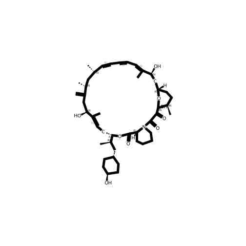 C=C1C[C@H](O)/C(C)=C/C[C@@H]([C@H](C)C[C@H]2CC[C@H](O)CC2)OC(=O)[C@@H]2CCCCN2C(=O)C(=O)[C@]2(O)O[C@@H](CC[C@H]2C)C[C@H](O)/C(C)=C/C=C/C=C/[C@@H](C)C[C@H]1C